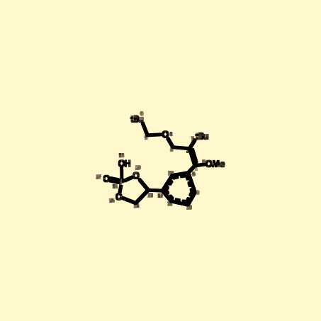 COC(=C(COCC(C)(C)C)C(C)(C)C)c1cccc(C2COP(=O)(O)O2)c1